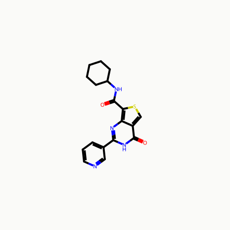 O=C(NC1CCCCC1)c1scc2c(=O)[nH]c(-c3cccnc3)nc12